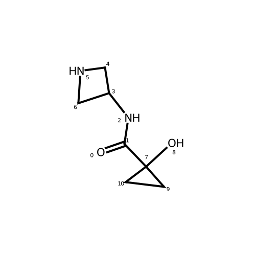 O=C(NC1CNC1)C1(O)CC1